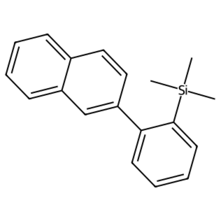 C[Si](C)(C)c1ccccc1-c1ccc2ccccc2c1